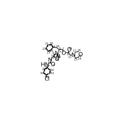 O=C([N-]c1c[n+](C(COC(=O)CN2CCOCC2)Cc2ccccc2)no1)Nc1ccc(Cl)cc1